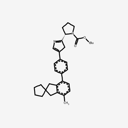 Cc1ccc(-c2ccc(C3=CN=C([C@@H]4CCCN4C(=O)OC(C)(C)C)C3)cc2)c2c1CC1(CCCC1)C2